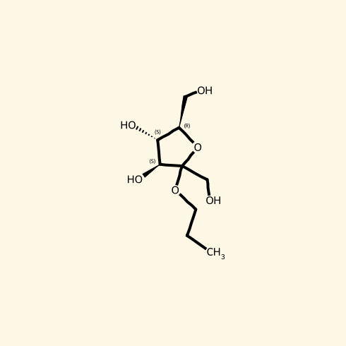 CCCOC1(CO)O[C@H](CO)[C@@H](O)[C@@H]1O